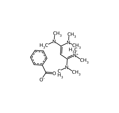 CN(C)C(=CC(N(C)C)=[N+](C)C)N(C)C.O=C([O-])c1ccccc1